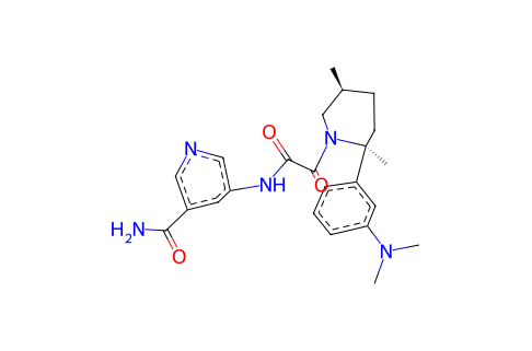 C[C@H]1CC[C@@](C)(c2cccc(N(C)C)c2)N(C(=O)C(=O)Nc2cncc(C(N)=O)c2)C1